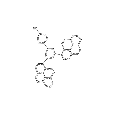 N#Cc1ccc(-c2cc(-c3ccc4ccc5cccc6ccc3c4c56)cc(-c3ccc4ccc5cccc6ccc3c4c56)c2)cc1